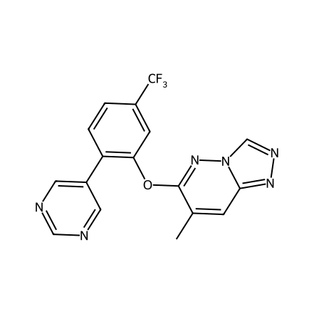 Cc1cc2nncn2nc1Oc1cc(C(F)(F)F)ccc1-c1cncnc1